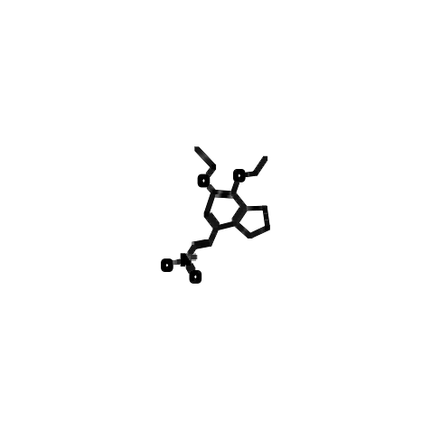 CCOc1cc(C=C[N+](=O)[O-])c2c(c1OCC)CCC2